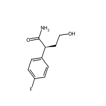 NC(=O)[C@@H](CCO)c1ccc(F)cc1